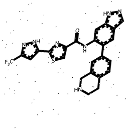 O=C(Nc1cc2[nH]ncc2cc1-c1ccc2c(c1)CNCC2)c1csc(-c2cc(C(F)(F)F)n[nH]2)n1